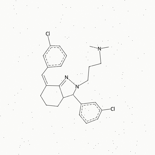 CN(C)CCCN1N=C2/C(=C\c3cccc(Cl)c3)CCCC2C1c1cccc(Cl)c1